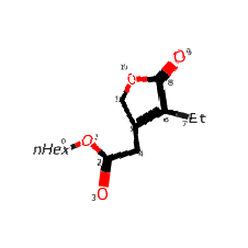 CCCCCCOC(=O)CC1=C(CC)C(=O)OC1